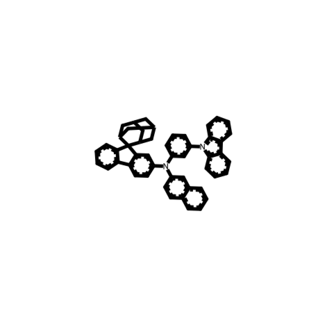 c1cc(N(c2ccc3c(c2)C2(c4ccccc4-3)C3CC4CC(C3)CC2C4)c2ccc3ccccc3c2)cc(-n2c3ccccc3c3ccccc32)c1